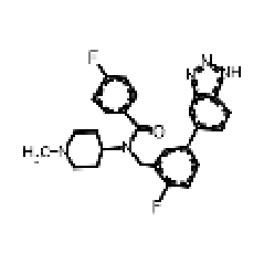 CN1CCC(N(Cc2cc(-c3ccc4[nH]nnc4c3)ccc2F)C(=O)c2ccc(F)cc2)CC1